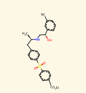 CCOC(=O)c1ccc(S(=O)(=O)c2ccc(C[C@@H](C)NC[C@H](O)c3cccc(C#N)c3)cc2)cc1